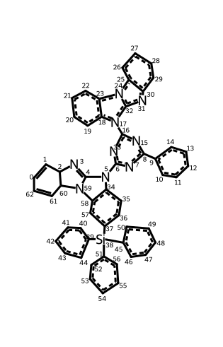 C1=CC2N=C3N(c4nc(-c5ccccc5)nc(-n5c6ccccc6n6c7ccccc7nc56)n4)c4ccc([Si](c5ccccc5)(c5ccccc5)c5ccccc5)cc4N3C2C=C1